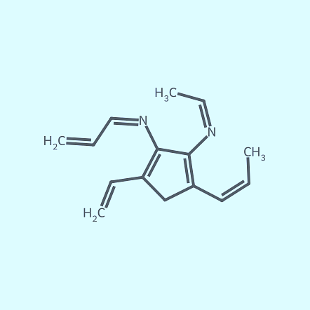 C=C/C=N\C1=C(C=C)CC(/C=C\C)=C1/N=C\C